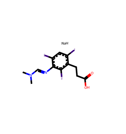 CN(C)/C=N/c1c(I)cc(I)c(CCC(=O)O)c1I.[NaH]